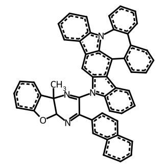 CC12N=C(n3c4ccccc4c4c5c6c(cc43)c3ccccc3n6-c3ccccc3-c3ccccc3-5)C(c3ccc4ccccc4c3)=NC1Oc1ccccc12